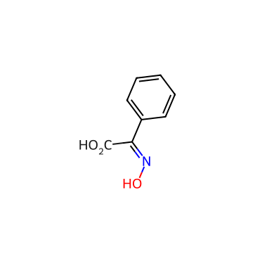 O=C(O)C(=NO)c1ccccc1